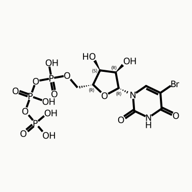 O=c1[nH]c(=O)n([C@@H]2O[C@H](COP(=O)(O)OP(=O)(O)OP(=O)(O)O)[C@@H](O)[C@H]2O)cc1Br